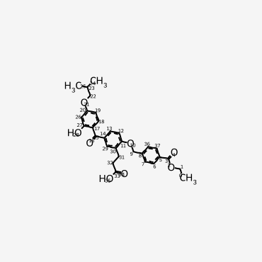 CCOC(=O)c1ccc(COc2ccc(C(=O)c3ccc(OCC(C)C)cc3O)cc2CCC(=O)O)cc1